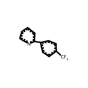 FC(F)(F)c1ccc(-c2cc[c]cn2)cc1